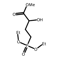 CCOP(=O)(CCC(O)C(=O)OC)OCC